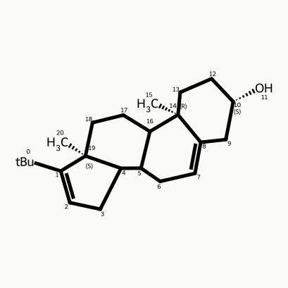 CC(C)(C)C1=CCC2C3CC=C4C[C@@H](O)CC[C@]4(C)C3CC[C@]12C